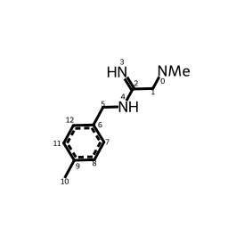 CNCC(=N)NCc1ccc(C)cc1